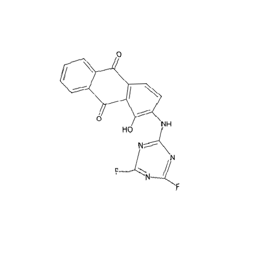 O=C1c2ccccc2C(=O)c2c1ccc(Nc1nc(F)nc(F)n1)c2O